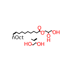 C=CC.CCCCCCCC/C=C\CCCCCCCC(=O)OCC(O)CO.OCCO